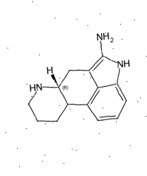 Nc1[nH]c2cccc3c2c1C[C@H]1NCCCC31